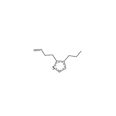 C=CCCc1sccc1CCC